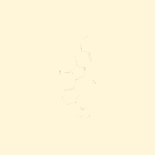 CCOC(=O)Nc1cccc(-c2c(C#N)c3ccc(OC(C)C)cc3n2CC)c1